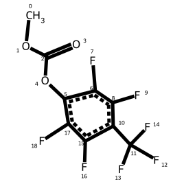 COC(=O)Oc1c(F)c(F)c(C(F)(F)F)c(F)c1F